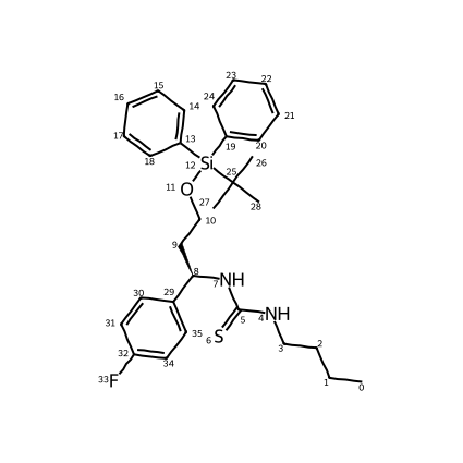 CCCCNC(=S)N[C@H](CCO[Si](c1ccccc1)(c1ccccc1)C(C)(C)C)c1ccc(F)cc1